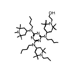 CCCCN(c1nc(N(CCCC)C2CC(C)(C)N(CCC)C(C)(C)C2)nc(N(CCCC)C2CC(C)(C)N(CCO)C(C)(C)C2)n1)C1CC(C)(C)N(C)C(C)(C)C1